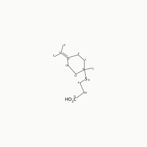 CC(C)=C1CCC(C)(SCCC(=O)O)CC1